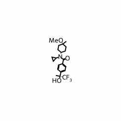 CO[C@]1(C)CC[C@H](N(C(=O)c2ccc([C@](C)(O)C(F)(F)F)cc2)C2CC2)CC1